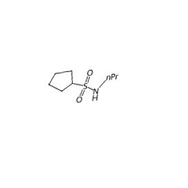 CCCNS(=O)(=O)C1CCCC1